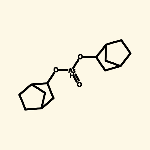 O=[AsH](OC1CC2CCC1C2)OC1CC2CCC1C2